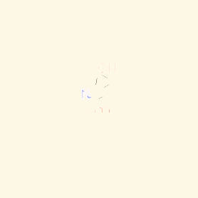 CCCCOC(=O)/C(C#N)=C/c1ccc(O)cc1